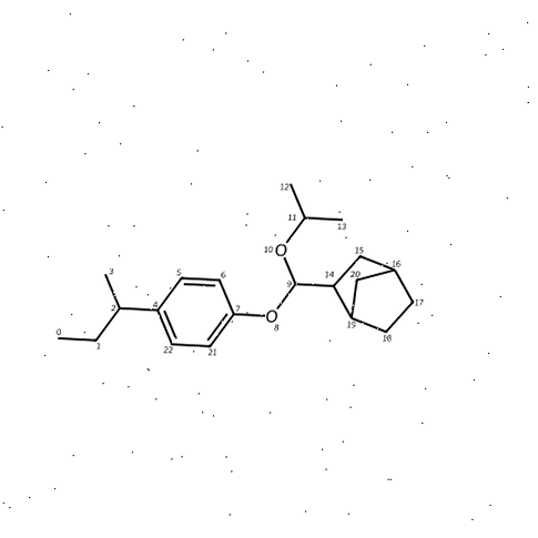 CCC(C)c1ccc(OC(OC(C)C)C2CC3CCC2C3)cc1